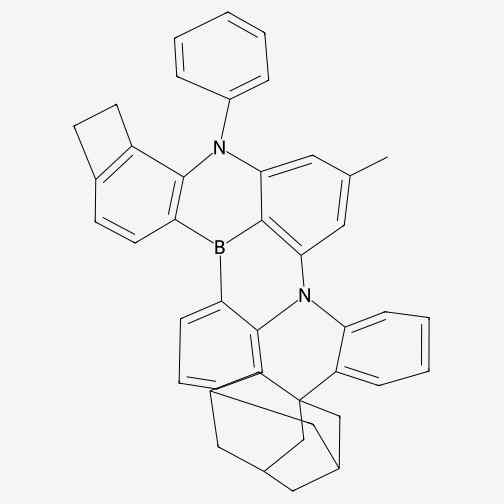 Cc1cc2c3c(c1)N(c1ccccc1)c1c(ccc4c1CC4)B3c1ccccc1N2c1ccccc1C12CC3CC(CC(C3)C1)C2